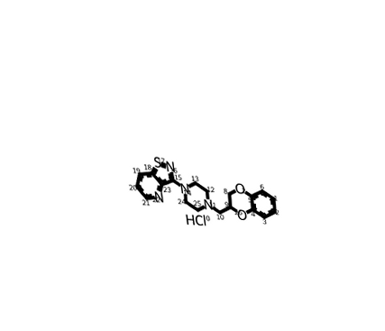 Cl.c1ccc2c(c1)OCC(CN1CCN(c3nsc4cccnc34)CC1)O2